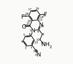 N#Cc1cccc(-n2c(CCN)nc3c(F)ccc(F)c3c2=O)c1